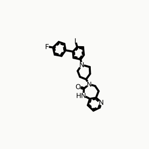 O=C1Nc2cccnc2CCN1C1CCN(c2ccc(I)c(-c3ccc(F)cc3)c2)CC1